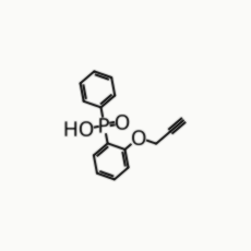 C#CCOc1ccccc1P(=O)(O)c1ccccc1